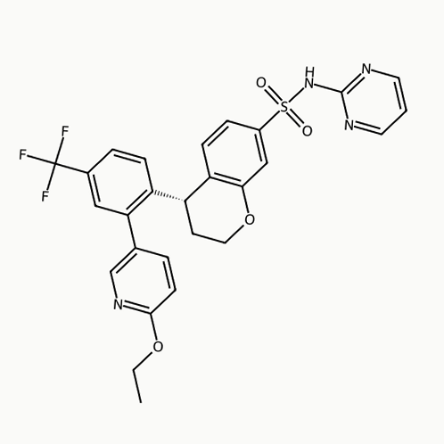 CCOc1ccc(-c2cc(C(F)(F)F)ccc2[C@H]2CCOc3cc(S(=O)(=O)Nc4ncccn4)ccc32)cn1